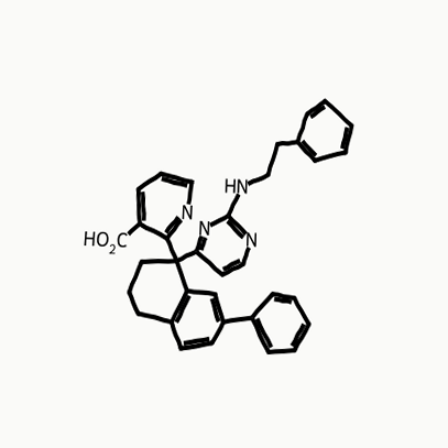 O=C(O)c1cccnc1C1(c2ccnc(NCCc3ccccc3)n2)CCCc2ccc(-c3ccccc3)cc21